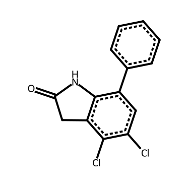 O=C1Cc2c(Cl)c(Cl)cc(-c3ccccc3)c2N1